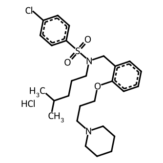 CC(C)CCCN(Cc1ccccc1OCCCN1CCCCC1)S(=O)(=O)c1ccc(Cl)cc1.Cl